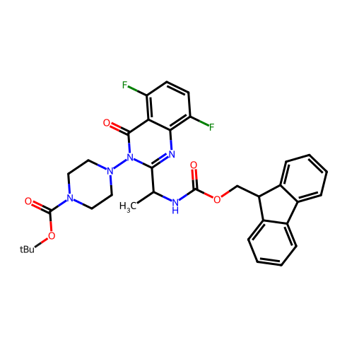 CC(NC(=O)OCC1c2ccccc2-c2ccccc21)c1nc2c(F)ccc(F)c2c(=O)n1N1CCN(C(=O)OC(C)(C)C)CC1